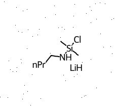 CCCCN[Si](C)(C)Cl.[LiH]